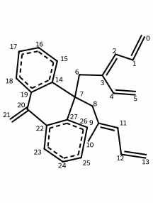 C=C/C=C(\C=C)CC1(C/C(C)=C/C=C)c2ccccc2C(=C)c2ccccc21